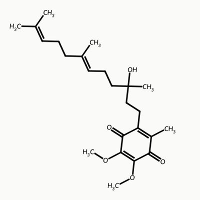 COC1=C(OC)C(=O)C(CCC(C)(O)CC/C=C(\C)CCC=C(C)C)=C(C)C1=O